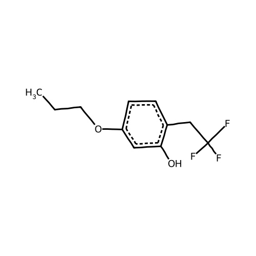 CCCOc1ccc(CC(F)(F)F)c(O)c1